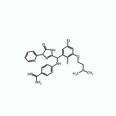 CCc1cc(OCCN(C)C)c(F)c(C(Nc2ccc(C(=N)N)cc2)c2nn(-c3ccccn3)c(=O)[nH]2)c1